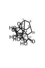 O=C(O)C12CC3CC(C1)C(C(=O)O)(C(=O)O)C(C(=O)O)(C3)C2(C(=O)O)C(=O)O